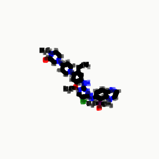 CCc1cc(Nc2ncc(Br)c(Nc3ccc4nccnc4c3P(C)(C)=O)n2)c(OC)cc1N1CCC(N2CCN(C)C(=O)C2)CC1